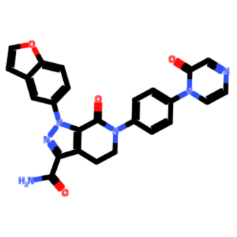 NC(=O)c1nn(-c2ccc3occc3c2)c2c1CCN(c1ccc(-n3ccncc3=O)cc1)C2=O